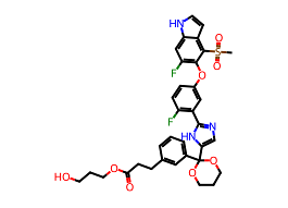 CS(=O)(=O)c1c(Oc2ccc(F)c(-c3ncc(C4(c5cccc(CCC(=O)OCCCO)c5)OCCCO4)[nH]3)c2)c(F)cc2[nH]ccc12